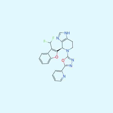 FC(F)c1c([C@H]2c3nc[nH]c3CCN2c2nnc(-c3ccccn3)o2)oc2ccccc12